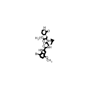 COC(=O)C(C[C@@H]1CCCNC1=O)NC(=O)[C@H](CC1CC1)NC(=O)c1cc2c(OC)ccc(Br)c2[nH]1